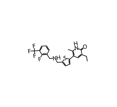 CCc1cc(-c2ccc(CNCc3cccc(C(F)(F)F)c3F)s2)c(C)[nH]c1=O